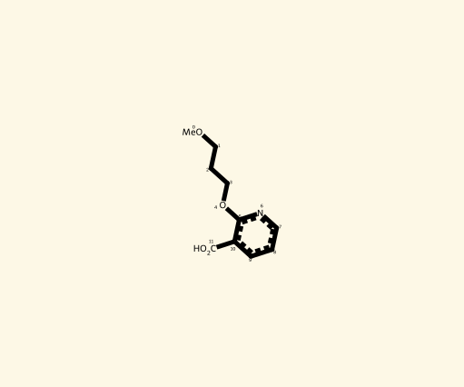 COCCCOc1ncccc1C(=O)O